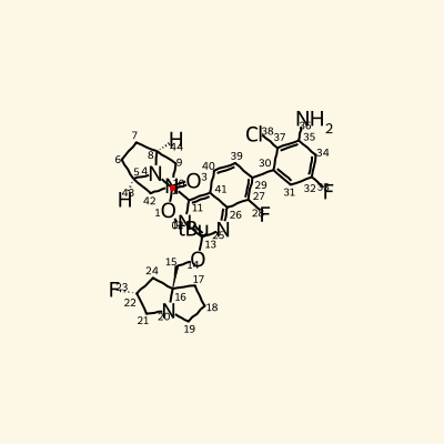 CC(C)(C)OC(=O)N1[C@@H]2CC[C@H]1CN(c1nc(OC[C@@]34CCCN3C[C@H](F)C4)nc3c(F)c(-c4cc(F)cc(N)c4Cl)ccc13)C2